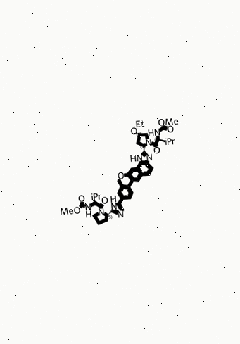 CCO[C@H]1C[C@@H](c2nc3ccc4cc5c(cc4c3[nH]2)OCc2cc(-c3cnc([C@@H]4CCCN4C(=O)[C@@H](NC(=O)OC)C(C)C)[nH]3)ccc2-5)N(C(=O)[C@@H](NC(=O)OC)C(C)C)C1